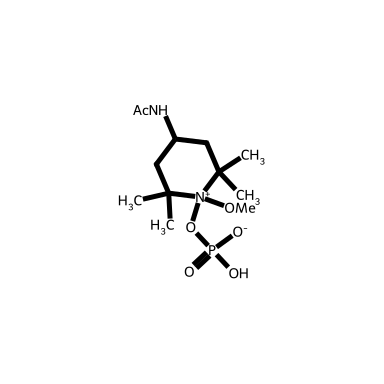 CO[N+]1(OP(=O)([O-])O)C(C)(C)CC(NC(C)=O)CC1(C)C